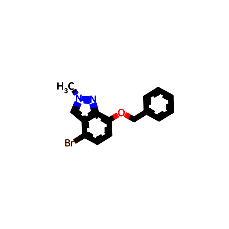 Cn1cc2c(Br)ccc(OCc3ccccc3)c2n1